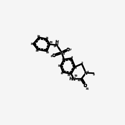 CN1Cc2cc(S(=O)(=O)Nc3ccccc3)ccc2NC1=O